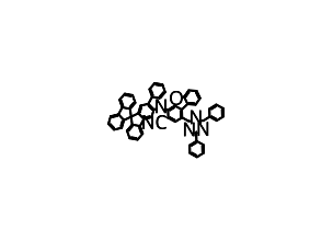 N#Cc1cc(-c2nc(-c3ccccc3)nc(-c3ccccc3)n2)c2c(oc3ccccc32)c1-n1c2ccccc2c2cc3c(cc21)-c1ccccc1C31c2ccccc2-c2ccccc21